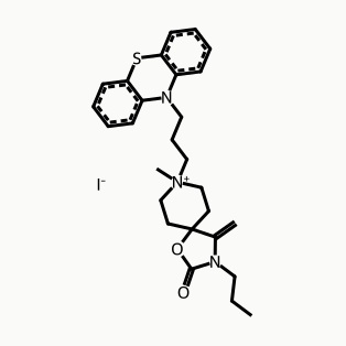 C=C1N(CCC)C(=O)OC12CC[N+](C)(CCCN1c3ccccc3Sc3ccccc31)CC2.[I-]